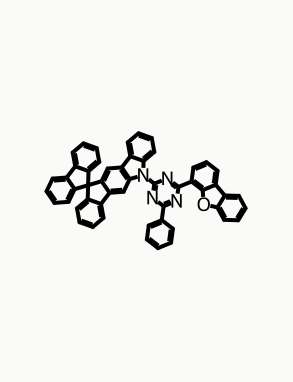 c1ccc(-c2nc(-c3cccc4c3oc3ccccc34)nc(-n3c4ccccc4c4cc5c(cc43)-c3ccccc3C53c4ccccc4-c4ccccc43)n2)cc1